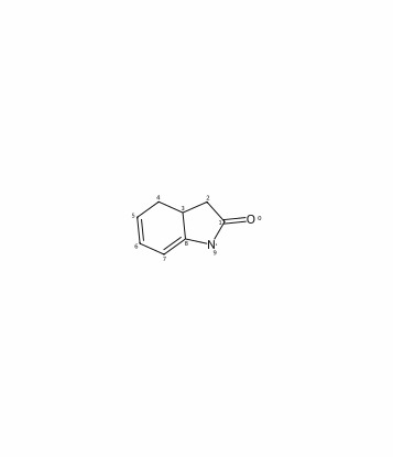 O=C1CC2CC=CC=C2[N]1